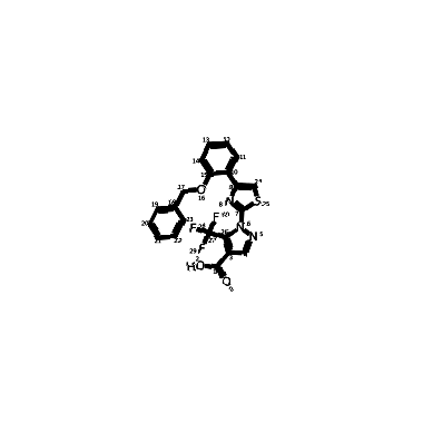 O=C(O)c1cnn(-c2nc(-c3ccccc3OCc3ccccc3)cs2)c1C(F)(F)F